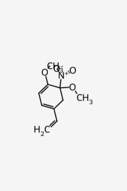 C=CC1=CC=C(OC)C(OC)([N+](=O)[O-])C1